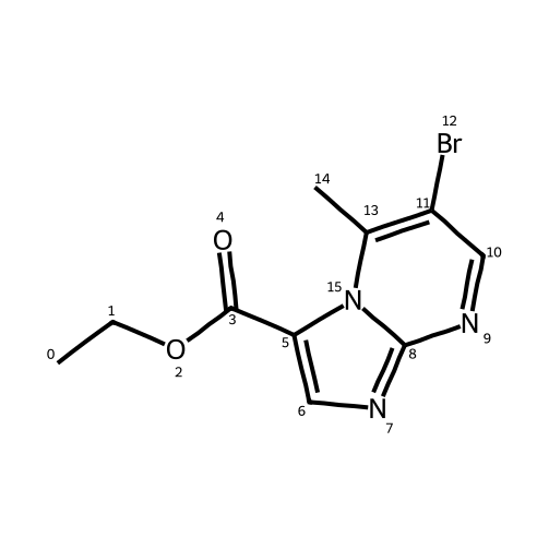 CCOC(=O)c1cnc2ncc(Br)c(C)n12